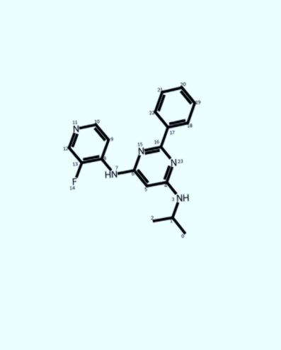 CC(C)Nc1cc(Nc2ccncc2F)nc(-c2ccccc2)n1